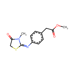 COC(=O)Cc1ccc(N=C2SCC(=O)N2C)cc1